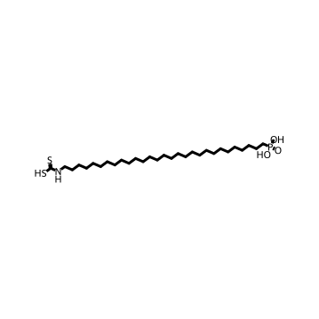 O=P(O)(O)CCCCCCCCCCCCCCCCCCCCCCCCCCCCCNC(=S)S